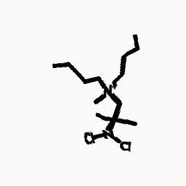 CCCC[N+](C)(CCCC)CC(C)(C)N(Cl)Cl